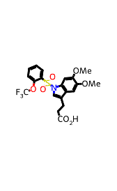 COc1cc2c(CCC(=O)O)cn(S(=O)(=O)c3ccccc3OC(F)(F)F)c2cc1OC